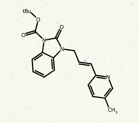 Cc1ccc(/C=C/Cn2c(=O)n(C(=O)OC(C)(C)C)c3ccccc32)nc1